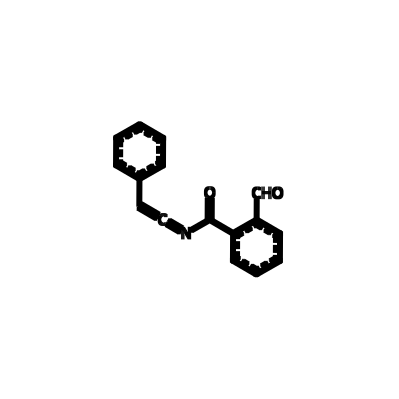 O=Cc1ccccc1C(=O)N=C=Cc1ccccc1